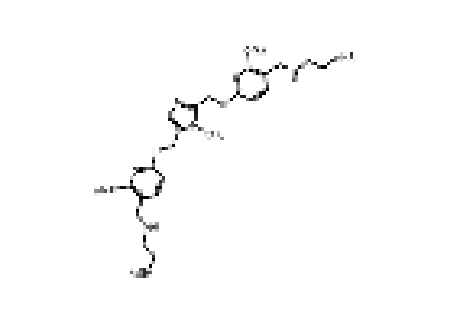 COc1nc(OCc2cnc(COc3ccc(CNCCNC(C)=O)c(OC)n3)n2C)ccc1CNCCNC(C)=O